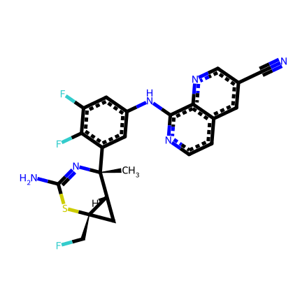 C[C@]1(c2cc(Nc3nccc4cc(C#N)cnc34)cc(F)c2F)N=C(N)S[C@@]2(CF)C[C@H]21